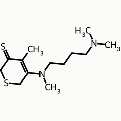 CC1=C(N(C)CCCCN(C)C)CSCC1=S